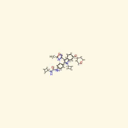 Cc1nc(-c2c(-c3ccc(NC(=O)NC4CCC4)cc3)n(C3CCC3)c3cc(OC4CCOCC4)ccc23)no1